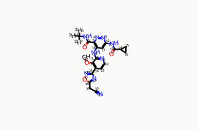 [2H]C([2H])([2H])NC(=O)c1nnc(NC(=O)C2CC2)cc1Nc1nccc(-c2noc(CC#N)n2)c1OC